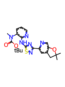 CN(C(=O)OC(C)(C)C)c1cccnc1Nc1nc(-c2cc3c(cn2)OC(C)(C)C3)ns1